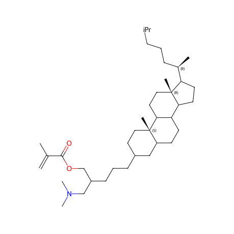 C=C(C)C(=O)OCC(CCCC1CC[C@@]2(C)C(CCC3C2CC[C@@]2(C)C3CCC2[C@H](C)CCCC(C)C)C1)CN(C)C